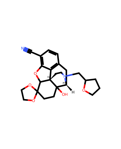 N#Cc1ccc2c3c1OC1C4(CCC5(O)[C@@H](C2)N(CC2CCCO2)CC[C@]315)OCCO4